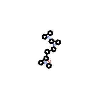 c1cc(-c2cccc(-n3c4ccccc4c4cc(-n5c6ccccc6c6ccccc65)ccc43)c2)cc(-c2cc3c4c(c2)c2ccccc2n4-c2ccccc2O3)c1